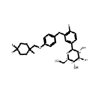 CC1(COc2ccc(Cc3cc(C4O[C@H](CO)[C@@H](O)[C@H](O)[C@H]4O)ccc3F)cc2)CCC(F)(F)CC1